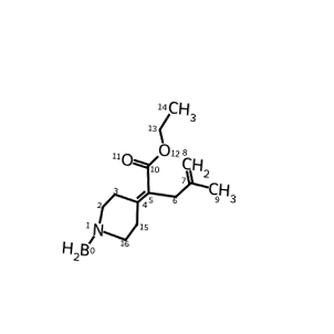 BN1CCC(=C(CC(=C)C)C(=O)OCC)CC1